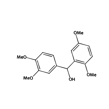 COc1ccc(OC)c(C(O)c2ccc(OC)c(OC)c2)c1